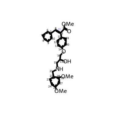 COC(=O)/C(=C/c1ccccc1)c1ccc(OCC(O)CNCc2ccc(OC)cc2OC)cc1